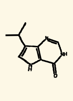 CC(C)c1c[nH]c2c(=O)[nH]cnc12